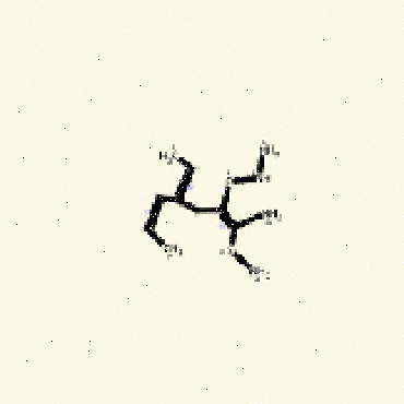 C/C=C\C(=C/C)C/C(ONN)=C(/N)SN